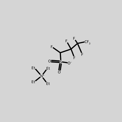 CC[N+](CC)(CC)CC.O=S(=O)([O-])C(F)C(F)(F)C(F)(F)C(F)(F)F